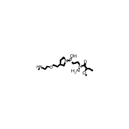 CCC(OC)C(=O)N(N)CCP(O)N1CCC(CCOCCNC)C1